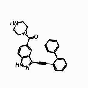 O=C(c1ccc2[nH]nc(C#Cc3ccccc3-c3ccccc3)c2c1)N1CCNCC1